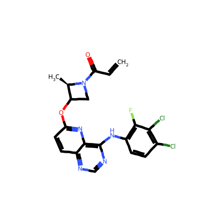 C=CC(=O)N1CC(Oc2ccc3ncnc(Nc4ccc(Cl)c(Cl)c4F)c3n2)[C@H]1C